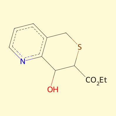 CCOC(=O)C1SCc2cccnc2C1O